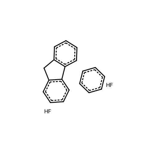 F.F.c1ccc2c(c1)Cc1ccccc1-2.c1ccccc1